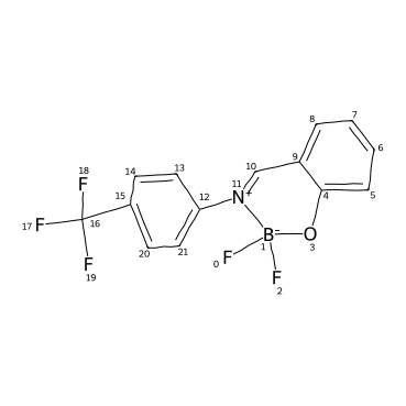 F[B-]1(F)Oc2ccccc2C=[N+]1c1ccc(C(F)(F)F)cc1